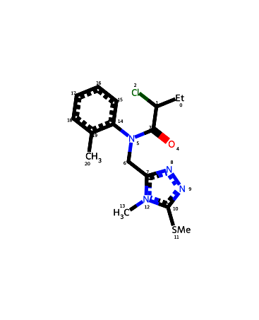 CCC(Cl)C(=O)N(Cc1nnc(SC)n1C)c1ccccc1C